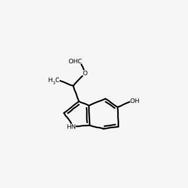 CC(OC=O)c1c[nH]c2ccc(O)cc12